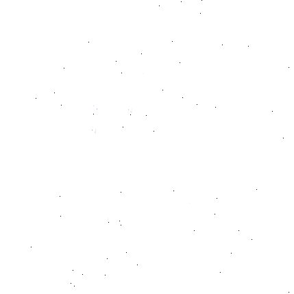 COc1ccc(-c2nc(SC)nnc2-c2ccc(C)cc2)cc1